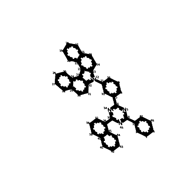 c1ccc(-c2nc(-c3cccc(-n4c5ccc6ccccc6c5c5c6ccccc6ccc54)c3)nc(-c3cccc4ccccc34)n2)cc1